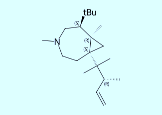 C=C[C@@H](C)C(C)(C)[C@]12CCN(C)C[C@@H](C(C)(C)C)[C@@]1(C)C2